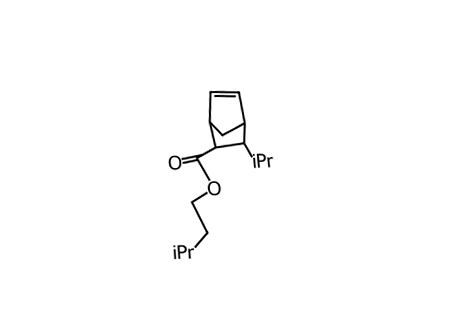 CC(C)CCOC(=O)C1C2C=CC(C2)C1C(C)C